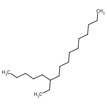 CCCCCCCCCCC(CC)CCCCC